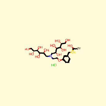 CC(C)C(O)=[SH]Cc1cccc(OCCN(C[C@H](O)[C@@H](O)[C@H](O)[C@H](O)CO)C[C@H](O)[C@@H](O)[C@H](O)[C@H](O)CO)c1.Cl